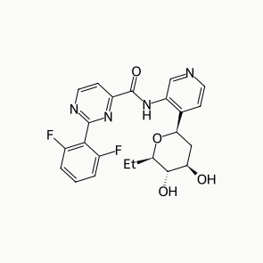 CC[C@H]1O[C@@H](c2ccncc2NC(=O)c2ccnc(-c3c(F)cccc3F)n2)C[C@@H](O)[C@@H]1O